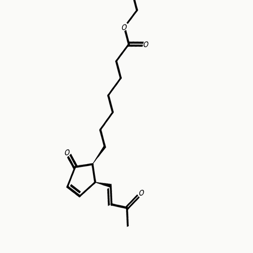 CCOC(=O)CCCCCC[C@@H]1C(=O)C=C[C@@H]1/C=C/C(C)=O